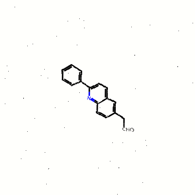 O=CCc1ccc2nc(-c3ccccc3)ccc2c1